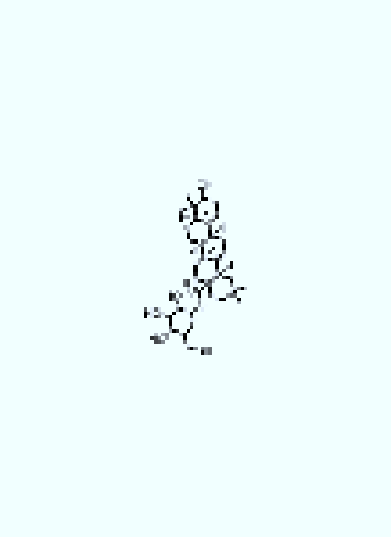 CC1(C)CC[C@]2(C(=O)O[C@H]3OC(CO)[C@H](O)[C@@H](O)C3O)C(O)C[C@]3(C)C(=CC[C@@H]4[C@@]5(C)CC[C@H](O)C(C)(C)[C@@H]5CC[C@]43C)[C@@H]2C1